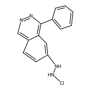 ClNNc1ccc2cnnc(-c3ccccc3)c2c1